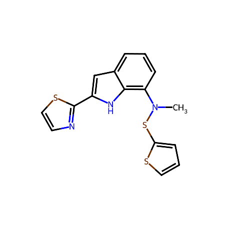 CN(Sc1cccs1)c1cccc2cc(-c3nccs3)[nH]c12